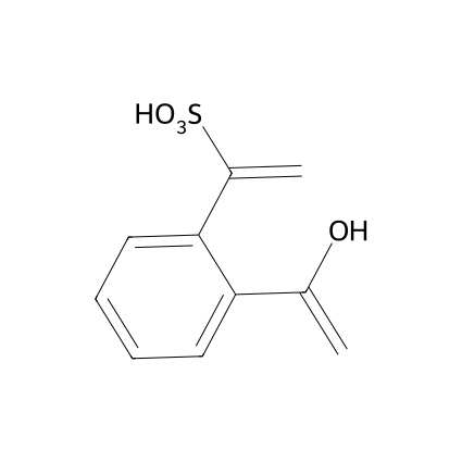 C=C(O)c1ccccc1C(=C)S(=O)(=O)O